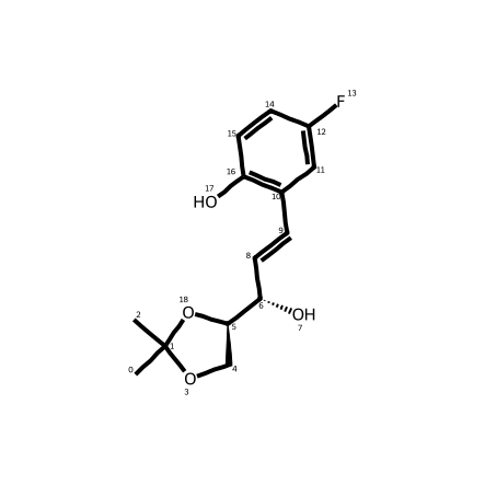 CC1(C)OC[C@H]([C@@H](O)/C=C/c2cc(F)ccc2O)O1